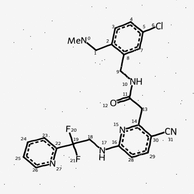 CNCc1ccc(Cl)cc1CNC(=O)Cc1nc(NCC(F)(F)c2ccccn2)ccc1C#N